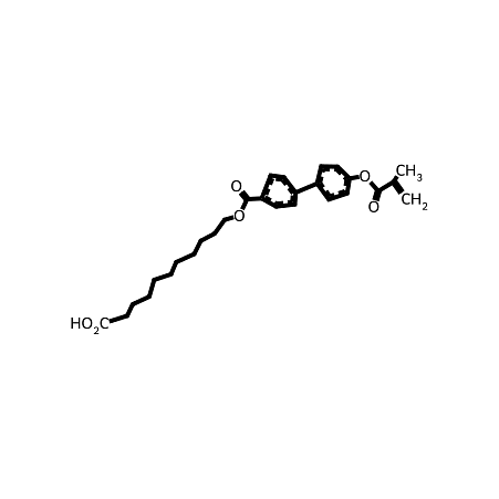 C=C(C)C(=O)Oc1ccc(-c2ccc(C(=O)OCCCCCCCCCCC(=O)O)cc2)cc1